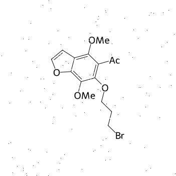 COc1c(C(C)=O)c(OCCCBr)c(OC)c2occc12